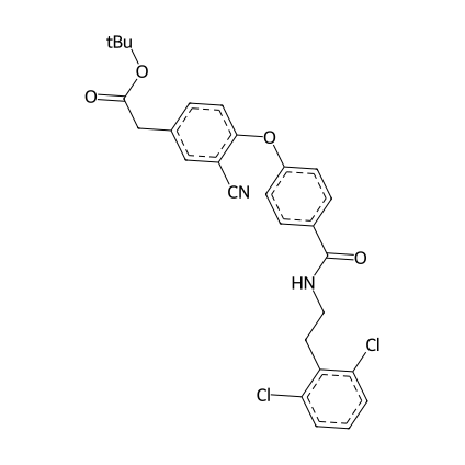 CC(C)(C)OC(=O)Cc1ccc(Oc2ccc(C(=O)NCCc3c(Cl)cccc3Cl)cc2)c(C#N)c1